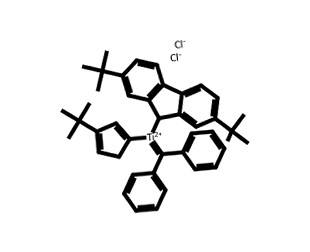 CC(C)(C)C1=CC[C]([Ti+2](=[C](c2ccccc2)c2ccccc2)[CH]2c3cc(C(C)(C)C)ccc3-c3ccc(C(C)(C)C)cc32)=C1.[Cl-].[Cl-]